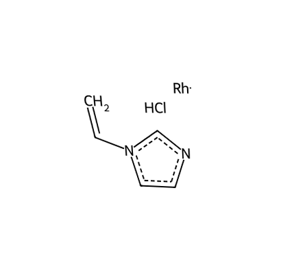 C=Cn1ccnc1.Cl.[Rh]